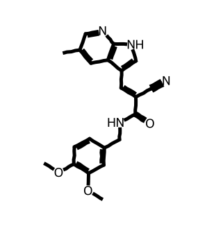 COc1ccc(CNC(=O)/C(C#N)=C/c2c[nH]c3ncc(C)cc23)cc1OC